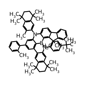 Cc1ccccc1-c1cc2c3c(c1)N(c1cc4c(cc1C)C(C)(C)CCC4(C)C)c1ccc4c(c1B3N(c1ccc(C(C)(C)C)cc1)c1cc3c(cc1-2)C(C)(C)CCC3(C)C)C(C)(C)c1ccccc1-4